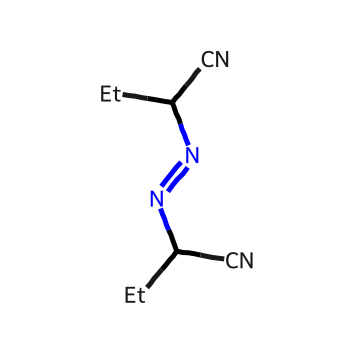 CCC(C#N)N=NC(C#N)CC